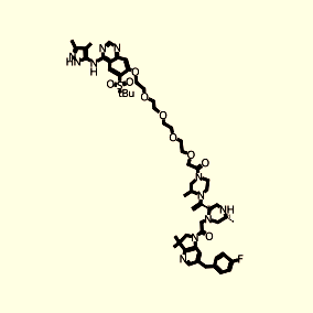 C=C([C@H]1CN[C@H](C)CN1CC(=O)N1CC(C)(C)c2ncc(Cc3ccc(F)cc3)cc21)N1CCN(C(=O)COCCOCCOCCOCCOc2cc3ncnc(Nc4[nH]nc(C)c4C)c3cc2S(=O)(=O)C(C)(C)C)CC1C